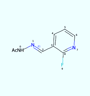 CC(=O)N/N=C/c1cccnc1F